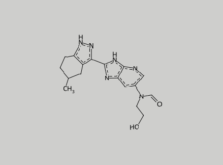 CC1CCc2[nH]nc(-c3nc4cc(N(C=O)CCO)cnc4[nH]3)c2C1